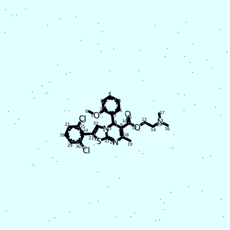 COc1ccccc1C1C(C(=O)OCCN(C)C)=C(C)N=C2SC(c3c(Cl)cccc3Cl)=CN21